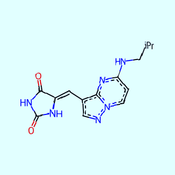 CC(C)CNc1ccn2ncc(C=C3NC(=O)NC3=O)c2n1